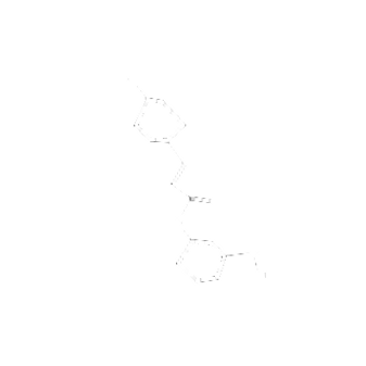 CCOc1cccc(OC(=O)/C=C/c2ccc(C(C)C)cc2)c1